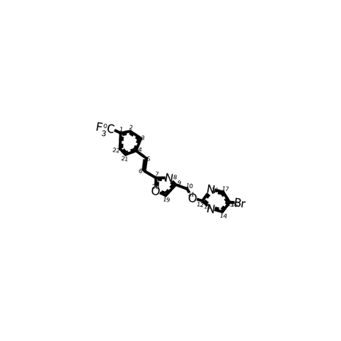 FC(F)(F)c1ccc(C=Cc2nc(COc3ncc(Br)cn3)co2)cc1